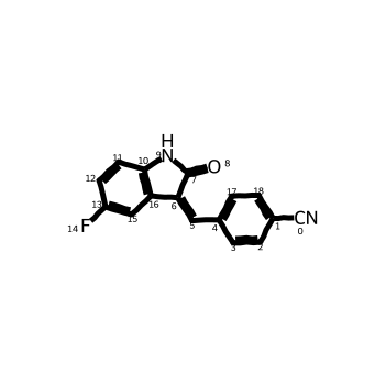 N#Cc1ccc(C=C2C(=O)Nc3ccc(F)cc32)cc1